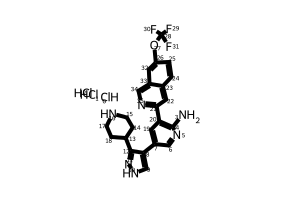 Cl.Cl.Cl.Nc1ncc(-c2c[nH]nc2C2CCNCC2)cc1-c1cc2ccc(OC(F)(F)F)cc2cn1